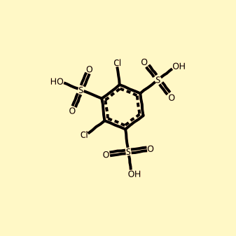 O=S(=O)(O)c1cc(S(=O)(=O)O)c(Cl)c(S(=O)(=O)O)c1Cl